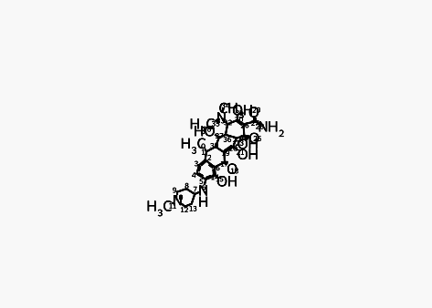 CC1c2ccc(NC3CCN(C)CC3)c(O)c2C(=O)C2=C(O)C3(O)C(=O)C(C(N)=O)=C(O)C(N(C)C)C3C(O)C21